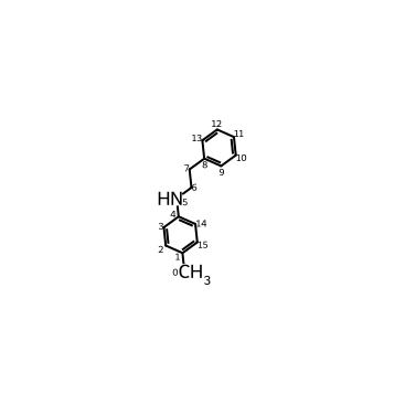 Cc1ccc(NCCc2ccccc2)cc1